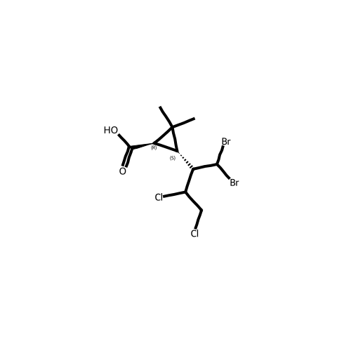 CC1(C)[C@H](C(=O)O)[C@H]1C(C(Br)Br)C(Cl)CCl